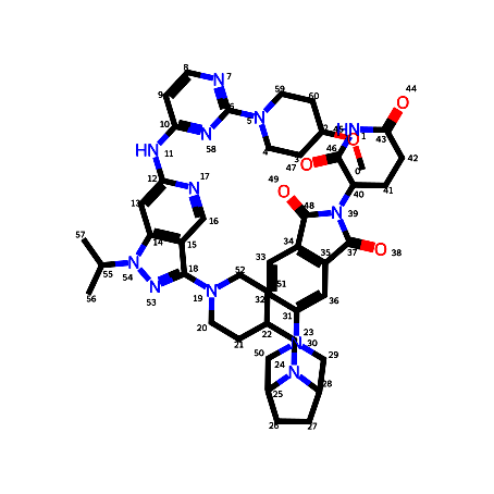 COC1CCN(c2nccc(Nc3cc4c(cn3)c(N3CCC(CN5C6CCC5CN(c5ccc7c(c5)C(=O)N(C5CCC(=O)NC5=O)C7=O)C6)CC3)nn4C(C)C)n2)CC1